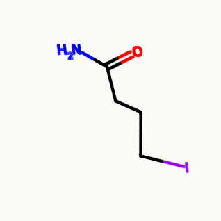 NC(=O)CCCI